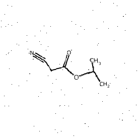 [CH2]C(C)OC(=O)CC#N